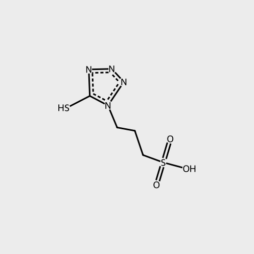 O=S(=O)(O)CCCn1nnnc1S